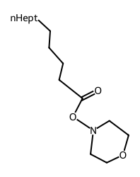 CCCCCCCCCCCC(=O)ON1CCOCC1